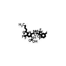 C=CCCC(=O)c1nc(-c2nnc(C(O)(c3cc(I)ccc3F)C(F)(F)F)o2)c(NC(=O)O)cc1C(F)(F)F